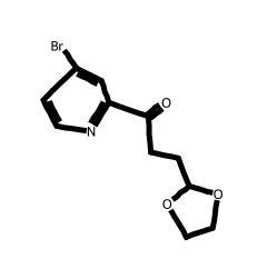 O=C(CCC1OCCO1)c1cc(Br)ccn1